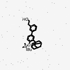 CC(C)(C)[Si](C)(C)Oc1ccc(-c2cccc(CCO)c2)cc1C12CC3CC(CC(C3)C1)C2